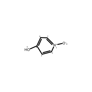 [O-][n+]1ccc(O)cc1